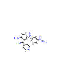 N=C(c1ccncc1)c1cc(Nc2cccc(NN)c2)ccc1N